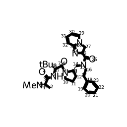 CN[C@@H](C)C(=O)N[C@H](C(=O)N1CCC[C@H]1CN(CCc1ccccc1)C(=O)C1CN2C=CC=CC2=N1)C(C)(C)C